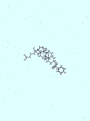 CC(C)CCC[C@@H](C)[C@H]1CC2O[C@@]23C2=CCC4CC(OC(=O)c5ccccc5)CC[C@]4(C)[C@H]2CC[C@]13C